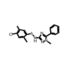 Cc1cc(SNc2nc(-c3ccccc3)n(C)n2)c(C)cc1Cl